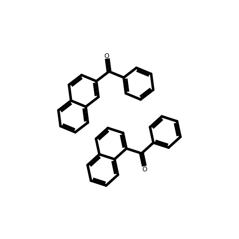 O=C(c1ccccc1)c1ccc2ccccc2c1.O=C(c1ccccc1)c1cccc2ccccc12